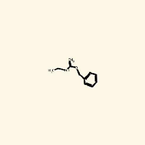 C=C(NCC)OCc1ccccc1